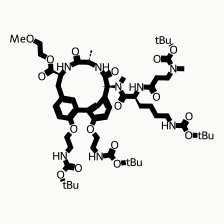 COCCOC(=O)[C@@H]1Cc2ccc(OCCNC(=O)OC(C)(C)C)c(c2)-c2cc(ccc2OCCNC(=O)OC(C)(C)C)[C@H](N(C)C(=O)[C@H](CCCCNC(=O)OC(C)(C)C)NC(=O)CCN(C)C(=O)OC(C)(C)C)C(=O)N[C@@H](C)C(=O)N1